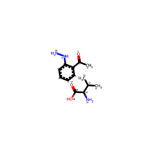 CC(=O)c1ccccc1NN.CC(C)C(N)C(=O)O